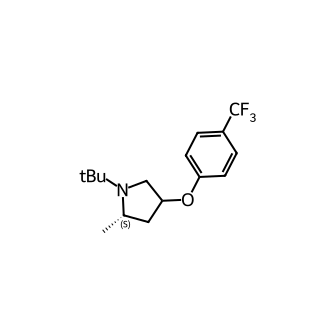 C[C@H]1CC(Oc2ccc(C(F)(F)F)cc2)CN1C(C)(C)C